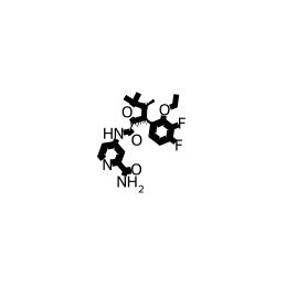 CCOc1c([C@H]2[C@H](C(=O)Nc3ccnc(C(N)=O)c3)OC(C)(C)[C@H]2C)ccc(F)c1F